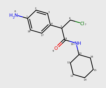 Nc1ccc(C(CCl)C(=O)NC2CCCCC2)cc1